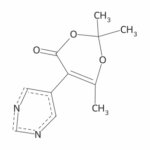 CC1=C(c2cncnc2)C(=O)OC(C)(C)O1